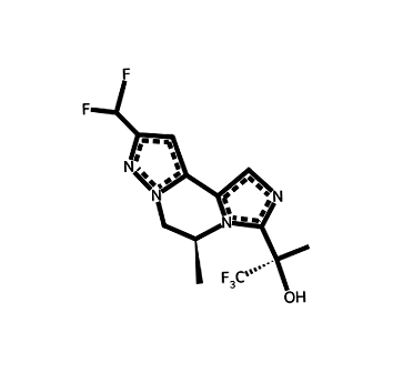 C[C@H]1Cn2nc(C(F)F)cc2-c2cnc([C@@](C)(O)C(F)(F)F)n21